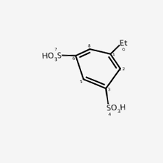 CCc1[c]c(S(=O)(=O)O)cc(S(=O)(=O)O)c1